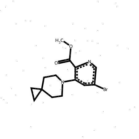 COC(=O)c1ncc(Br)cc1N1CCC2(CC1)CC2